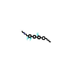 CC/C=C/CCc1ccc(-c2ccc(-c3ccc(C4CCC(CCCCC)CC4)cc3F)cc2)c(F)c1F